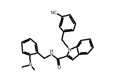 CN(C)c1ccccc1CNC(=O)c1cc2ccccc2n1Cc1cccc(C#N)c1